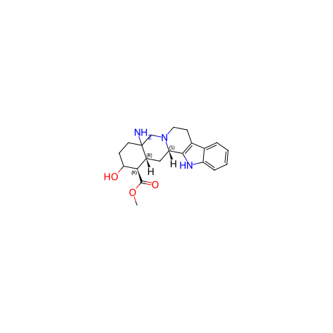 COC(=O)[C@H]1C(O)CCC2(N)CN3CCc4c([nH]c5ccccc45)[C@@H]3C[C@H]12